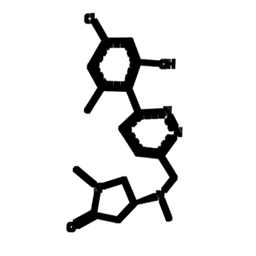 Cc1cc(Cl)cc(O)c1-c1ccc(CN(C)[C@H]2CC(=O)N(C)C2)nn1